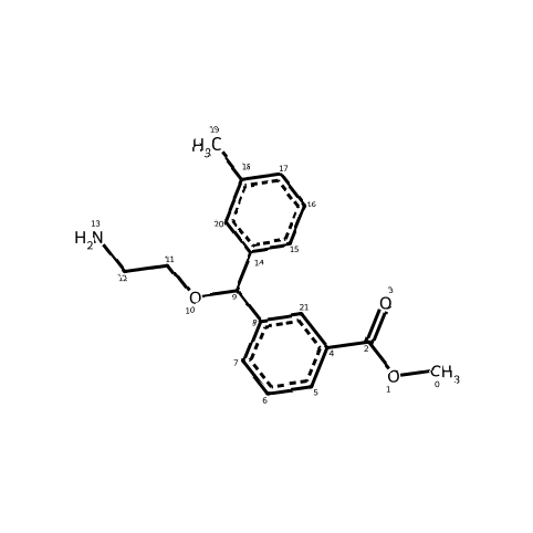 COC(=O)c1cccc(C(OCCN)c2cccc(C)c2)c1